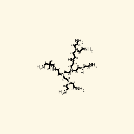 CC(C)(CN)CNCCN(CCN(CCN)CCN)CCN(CCNCCN)CCNCCN(CCN)CCN